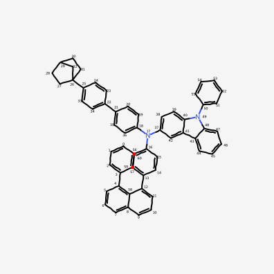 c1ccc(-c2cccc3cccc(-c4ccc(N(c5ccc(-c6ccc(C78CCC(CC7)C8)cc6)cc5)c5ccc6c(c5)c5ccccc5n6-c5ccccc5)cc4)c23)cc1